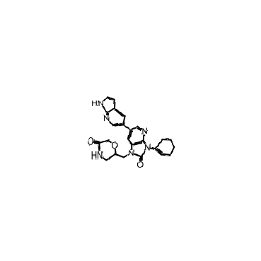 O=C1COC(Cn2c(=O)n(C3=CCCCC3)c3ncc(-c4cnc5[nH]ccc5c4)cc32)CN1